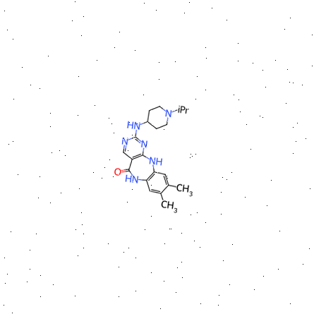 Cc1cc2c(cc1C)Nc1nc(NC3CCN(C(C)C)CC3)ncc1C(=O)N2